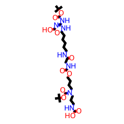 CC(C)(C)OC(=O)NC(=NC(=O)O)NCCCCCCNC(=O)CNC(=O)OCCCCN(CCCNC(=O)O)C(=O)OC(C)(C)C